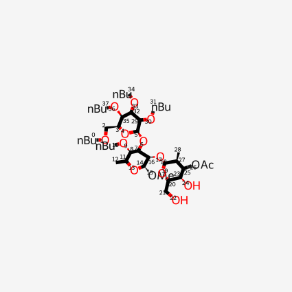 CCCCOC[C@@H]1O[C@H](OC2[C@@H](OCCCC)C(C)O[C@@H](OC)[C@H]2O[C@@H]2OC(CO)[C@@H](O)C(OC(C)=O)[C@@H]2C)C(OCCCC)C(OCCCC)[C@@H]1OCCCC